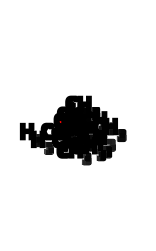 CCC(C)[Si]1(CC)[Si](CC)(C(C)CC)[Si](CC)(C(C)CC)[Si]1(CC)C(C)CC